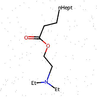 CCCCCCCCCC(=O)OCCN(CC)CC